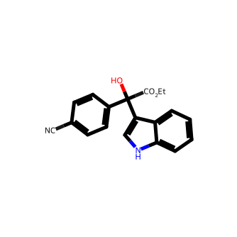 CCOC(=O)C(O)(c1ccc(C#N)cc1)c1c[nH]c2ccccc12